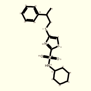 CC(CSc1csc(S(=O)(=O)NC2CCCCC2)n1)c1ccccc1